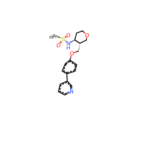 CCCS(=O)(=O)N[C@H]1CCOC[C@@H]1COc1ccc(-c2cccnc2)cc1